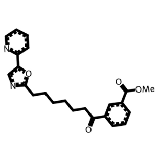 COC(=O)c1cccc(C(=O)CCCCCCc2ncc(-c3ccccn3)o2)c1